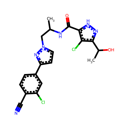 CC(Cn1ccc(-c2ccc(C#N)c(Cl)c2)n1)NC(=O)c1[nH]nc(C(C)O)c1Cl